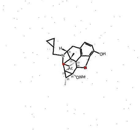 CO[C@]12[C@H](C)[C@@]1(C(C)=O)C[C@]1(C)[C@H]3Cc4ccc(O)c5c4[C@@]1(CCN3CC1CC1)[C@H]2O5